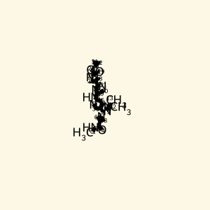 CCNC(=O)C1CN(c2nn(C(C)C)c3cc(Nc4ccnc(-c5cnn(S(=O)(=O)C6CC6)c5)n4)ncc23)C1